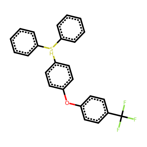 FC(F)(F)c1ccc(Oc2ccc([SH](c3ccccc3)c3ccccc3)cc2)cc1